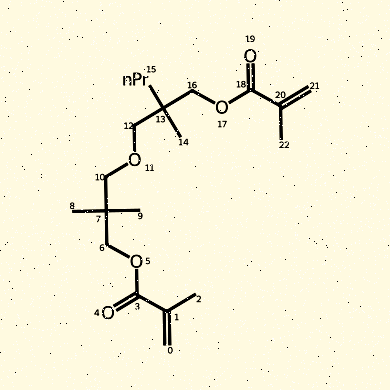 C=C(C)C(=O)OCC(C)(C)COCC(C)(CCC)COC(=O)C(=C)C